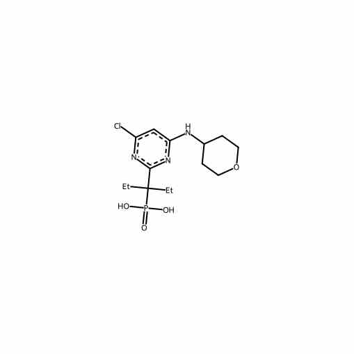 CCC(CC)(c1nc(Cl)cc(NC2CCOCC2)n1)P(=O)(O)O